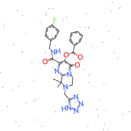 CC1(C)c2nc(C(=O)NCc3ccc(F)cc3)c(OC(=O)c3ccccc3)c(=O)n2CCN1Cc1nnn[nH]1